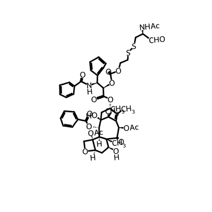 CC(=O)N[C@@H](C=O)CSSCCOC(=O)O[C@@H](C(=O)O[C@H]1C[C@@]2(O)[C@@H](OC(=O)c3ccccc3)[C@@H]3[C@]4(OC(C)=O)CO[C@@H]4C[C@H](O)[C@@]3(C)C(=O)[C@H](OC(C)=O)C(=C1C)C2(C)C)[C@@H](NC(=O)c1ccccc1)c1ccccc1